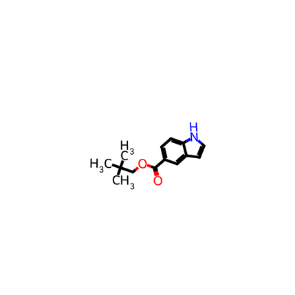 CC(C)(C)COC(=O)c1ccc2[nH]ccc2c1